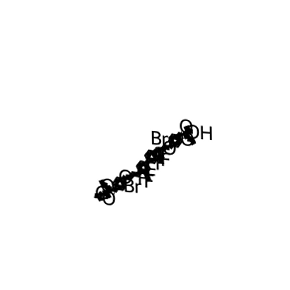 CCO[C@@H](Cc1ccc(OCCCc2ccc(-c3ccc(CCCOc4ccc(C[C@H](OCC)C(=O)OC(C)C)cc4Br)c(C(F)(F)F)c3)cc2C(F)(F)F)c(Br)c1)C(=O)O